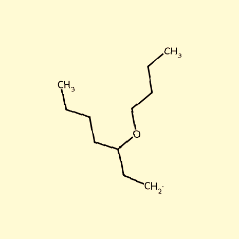 [CH2]CC(CCCC)OCCCC